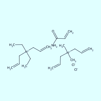 C=CC(N)=O.C=CC[N+](C)(C)CC=C.C=CC[N+](CC)(CC)CC=C.[Cl-].[Cl-]